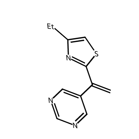 C=C(c1cncnc1)c1nc(CC)cs1